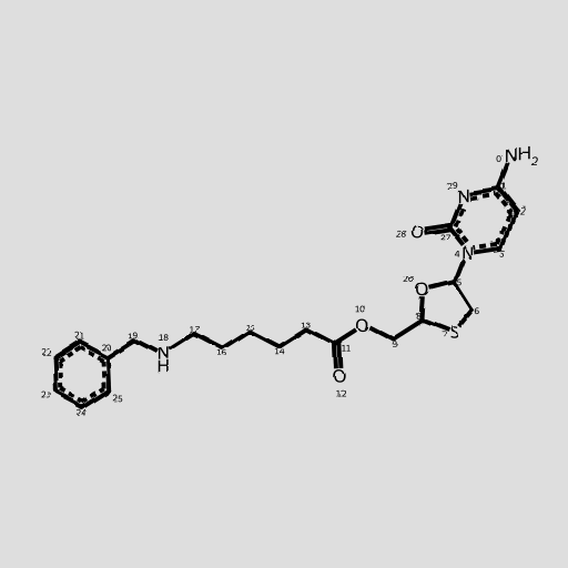 Nc1ccn(C2CSC(COC(=O)CCCCCNCc3ccccc3)O2)c(=O)n1